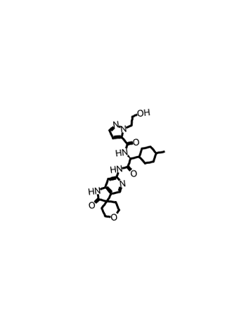 CC1CCC([C@H](NC(=O)c2ccnn2CCO)C(=O)Nc2cc3c(cn2)C2(CCOCC2)C(=O)N3)CC1